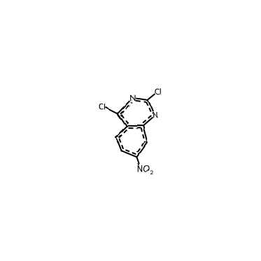 O=[N+]([O-])c1ccc2c(Cl)nc(Cl)nc2c1